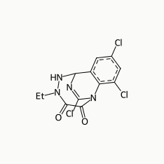 CCN1NC2N=C(Cl)N(C(=O)C1=O)c1c(Cl)cc(Cl)cc12